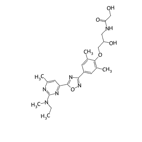 CCN(C)c1nc(C)cc(-c2nc(-c3cc(C)c(OCC(O)CNC(=O)CO)c(C)c3)no2)n1